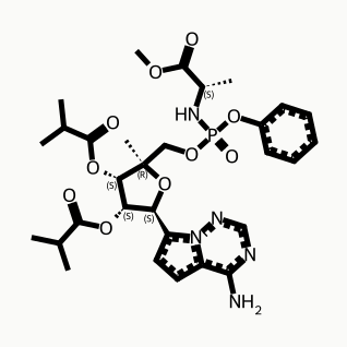 COC(=O)[C@H](C)NP(=O)(OC[C@@]1(C)O[C@@H](c2ccc3c(N)ncnn23)[C@H](OC(=O)C(C)C)[C@@H]1OC(=O)C(C)C)Oc1ccccc1